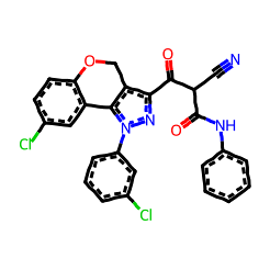 N#CC(C(=O)Nc1ccccc1)C(=O)c1nn(-c2cccc(Cl)c2)c2c1COc1ccc(Cl)cc1-2